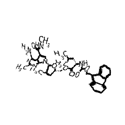 CNC(=O)c1cn([C@@H]2O[C@H](COC(=O)[C@H](CC(C)C)NC(=O)OCC3c4ccccc4-c4ccccc43)C[C@H]2C)c2nc(C)nc(N)c12